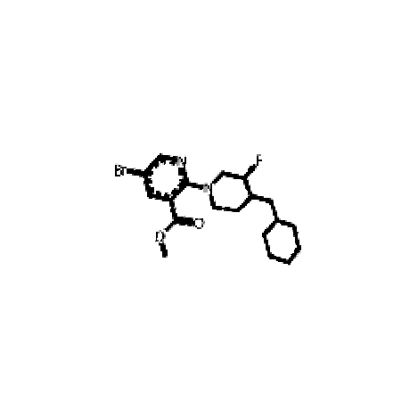 COC(=O)c1cc(Br)cnc1N1CCC(CC2CCCCC2)C(F)C1